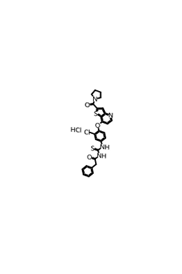 Cl.O=C(Cc1ccccc1)NC(=S)Nc1ccc(Oc2ccnc3cc(C(=O)N4CCCC4)sc23)c(Cl)c1